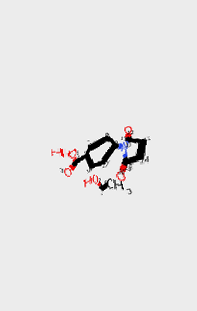 CCO.O=C(O)c1ccc(N2C(=O)C=CC2=O)cc1